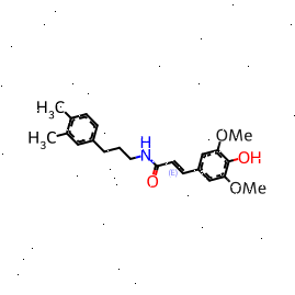 COc1cc(/C=C/C(=O)NCCCc2ccc(C)c(C)c2)cc(OC)c1O